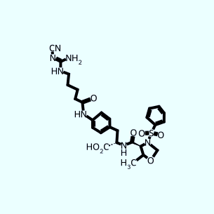 CC1OCN(S(=O)(=O)c2ccccc2)[C@@H]1C(=O)N[C@@H](Cc1ccc(NC(=O)CCCCN/C(N)=N/C#N)cc1)C(=O)O